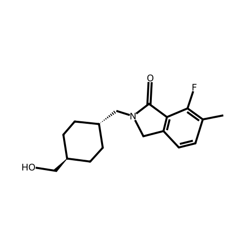 Cc1ccc2c(c1F)C(=O)N(C[C@H]1CC[C@H](CO)CC1)C2